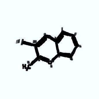 Cc1[o+]c2ccccc2cc1I